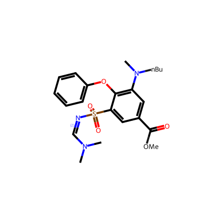 CCCCN(C)c1cc(C(=O)OC)cc(S(=O)(=O)/N=C\N(C)C)c1Oc1ccccc1